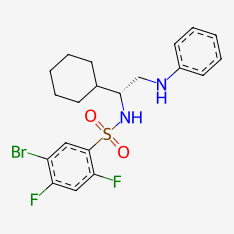 O=S(=O)(N[C@@H](CNc1ccccc1)C1CCCCC1)c1cc(Br)c(F)cc1F